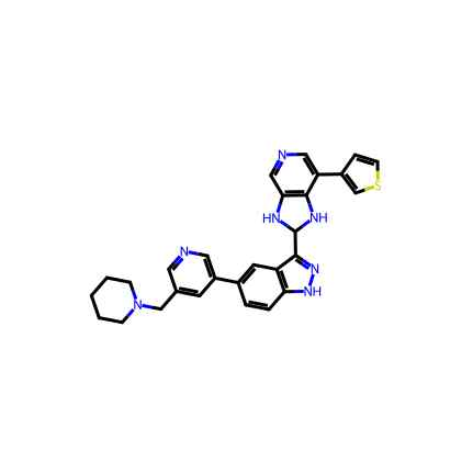 c1cc(-c2cncc3c2NC(c2n[nH]c4ccc(-c5cncc(CN6CCCCC6)c5)cc24)N3)cs1